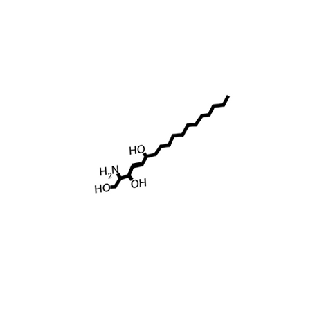 CCCCCCCCCCCCC(O)/C=C/C(O)C(N)CO